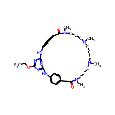 CN1CCCN(C)CCCN(C)C(=O)c2ccc(cc2)Nc2nc(nc(OCC(F)(F)F)n2)Nc2ccc(cc2)C(=O)N(C)CCC1